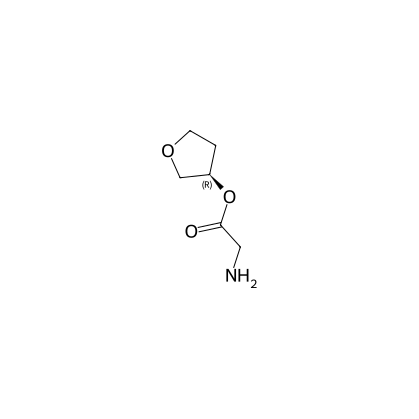 NCC(=O)O[C@@H]1CCOC1